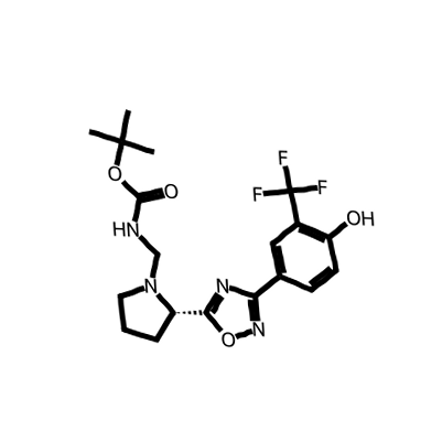 CC(C)(C)OC(=O)NCN1CCC[C@H]1c1nc(-c2ccc(O)c(C(F)(F)F)c2)no1